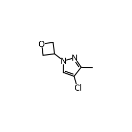 Cc1nn(C2COC2)cc1Cl